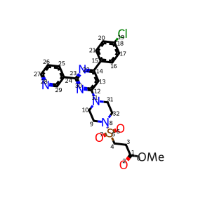 COC(=O)CCS(=O)(=O)N1CCN(c2cc(-c3ccc(Cl)cc3)nc(-c3cccnc3)n2)CC1